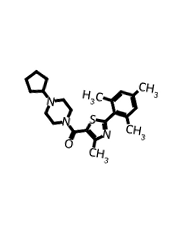 Cc1cc(C)c(-c2nc(C)c(C(=O)N3CCN(C4CCCC4)CC3)s2)c(C)c1